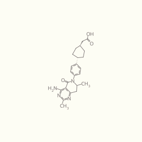 Cc1nc(N)c2c(n1)CC(C)N(c1ccc([C@H]3CC[C@H](CC(=O)O)CC3)cc1)C2=O